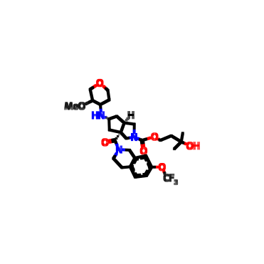 COC1COCCC1N[C@@H]1C[C@H]2CN(C(=O)OCCC(C)(C)O)C[C@@]2(C(=O)N2CCc3ccc(OC(F)(F)F)cc3C2)C1